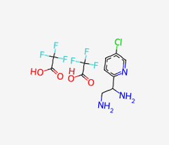 NCC(N)c1ccc(Cl)cn1.O=C(O)C(F)(F)F.O=C(O)C(F)(F)F